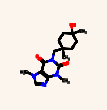 Cn1cnc2c1c(=O)n(CC1(C)CCC(C)(O)CC1)c(=O)n2C